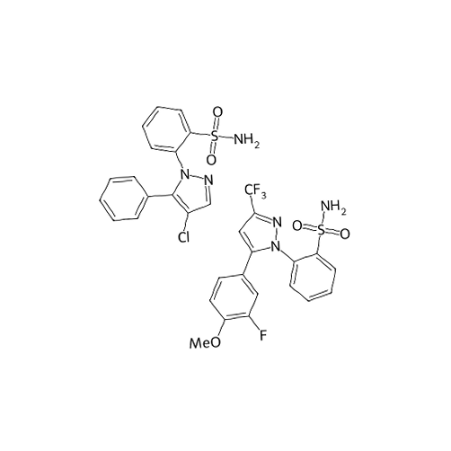 COc1ccc(-c2cc(C(F)(F)F)nn2-c2ccccc2S(N)(=O)=O)cc1F.NS(=O)(=O)c1ccccc1-n1ncc(Cl)c1-c1ccccc1